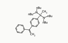 C=C(c1ccccc1)c1ccc([Si](C)(N(CCCC)CCCC)N(CCCC)CCCC)cc1